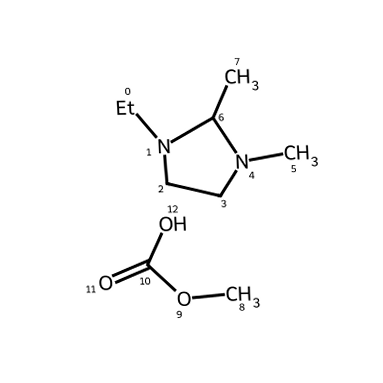 CCN1CCN(C)C1C.COC(=O)O